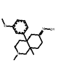 COc1cccc(C23CCN(C)CC2(C)CCC(=NO)C3)c1